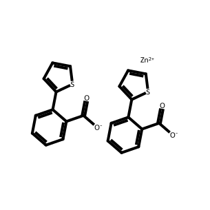 O=C([O-])c1ccccc1-c1cccs1.O=C([O-])c1ccccc1-c1cccs1.[Zn+2]